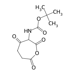 CC(C)(C)OC(=O)NC1C(=O)CCC(=O)OC1=O